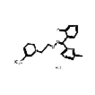 Cc1ccccc1C(=NOCCN1CCC=C(C(=O)O)C1)c1cccc(F)c1.Cl